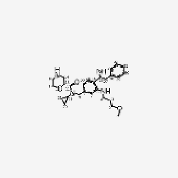 COCCCNc1cc(CN(C(=O)[C@H]2CNCCO2)C2CC2)ccc1C(=N)Cc1ccccc1